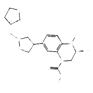 CC(=O)N1c2ccc(C3CNN(C[C@@H]4CCNC4)C3)cc2N(C(=O)OC(C)C)C[C@@H]1C